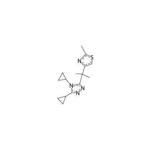 Cc1nc(C(C)(C)c2nnc(C3CC3)n2C2CC2)cs1